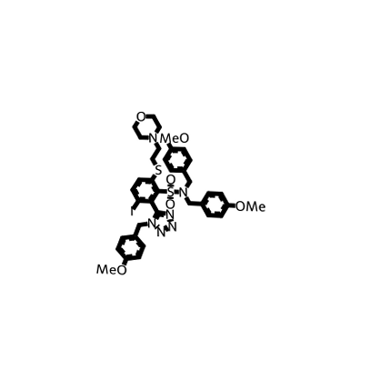 COc1ccc(CN(Cc2ccc(OC)cc2)S(=O)(=O)c2c(SCCN3CCOCC3)ccc(I)c2-c2nnnn2Cc2ccc(OC)cc2)cc1